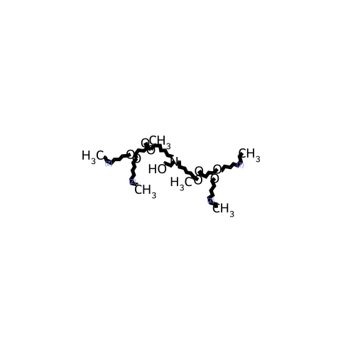 CC/C=C\CCCCOC(CCC(=O)OC(C)CCCCCN(CCO)CCCCCC(C)OC(=O)CCC(OCCCC/C=C\CC)OCCCC/C=C\CC)OCCCC/C=C\CC